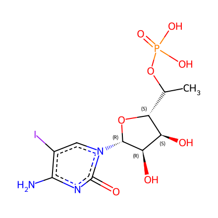 CC(OP(=O)(O)O)[C@H]1O[C@@H](n2cc(I)c(N)nc2=O)[C@H](O)[C@@H]1O